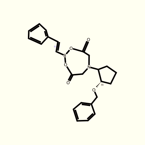 O=C1CN(C2CCC[C@@H]2OCc2ccccc2)CC(=O)OB(/C=C/c2ccccc2)O1